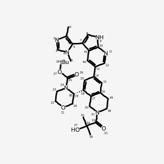 Cc1ncn(C)c1-c1c[nH]c2ncc(-c3cc4c(c([C@@H]5COCCN5C(=O)OC(C)(C)C)c3)CN(C(=O)C(C)(C)O)CC4)cc12